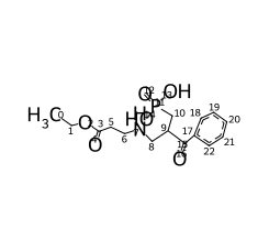 CCOC(=O)CCNCC(CP(=O)(O)O)C(=O)c1ccccc1